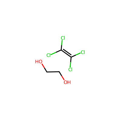 ClC(Cl)=C(Cl)Cl.OCCO